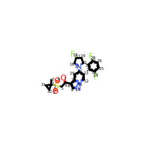 CC1(S(=O)(=O)CC(=O)c2cnn3ccc(N4C[C@@H](F)C[C@@H]4c4cc(F)ccc4F)cc23)CC1